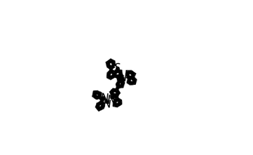 c1ccc(-c2nc(-n3c4ccccc4c4cc(-c5ccc6c(c5)c5c7cccc8c7c(cc5n6-c5cccc6ccccc56)Sc5ccccc5-8)ccc43)nc3ccccc23)cc1